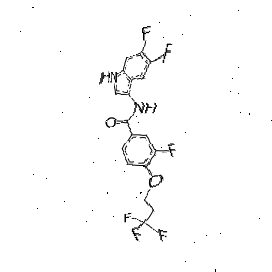 O=C(Nc1c[nH]c2cc(F)c(F)cc12)c1ccc(OCCC(F)(F)F)c(F)c1